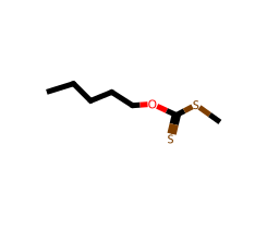 CCCCCOC(=S)SC